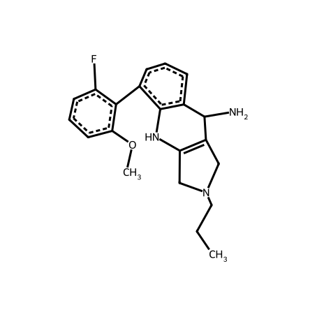 CCCN1CC2=C(C1)C(N)c1cccc(-c3c(F)cccc3OC)c1N2